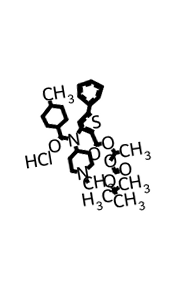 CC1CCC(C(=O)N(c2cc(-c3ccccc3)sc2C(=O)OC(C)OC(=O)OC(C)(C)C)C2CCN(C)CC2)CC1.Cl